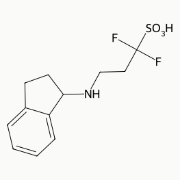 O=S(=O)(O)C(F)(F)CCNC1CCc2ccccc21